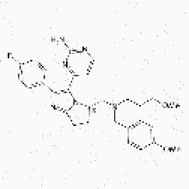 COCCCN(Cc1ccc(OC)cc1)C[C@@H]1CCc2nc(-c3ccc(F)cc3)c(-c3ccnc(N)n3)n21